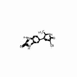 Cc1[nH]c(=O)c(C#N)cc1-c1ccc2[nH]c(=O)[nH]c2c1